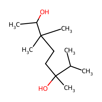 CC(O)C(C)(C)CCC(C)(O)C(C)C